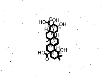 CC1(C)CC[C@]2(C(=O)O)CC[C@]3(C)C(=CC[C@@H]4[C@@]5(C)C[C@@H](O)[C@H](O)[C@](C)(C(=O)O)[C@@H]5CC[C@]43C)[C@@H]2[C@H]1O